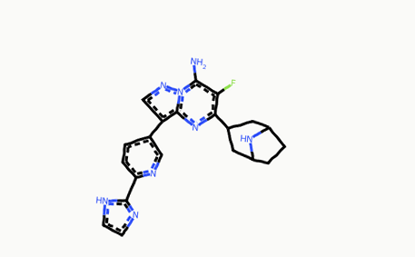 Nc1c(F)c(C2CC3CCC(C2)N3)nc2c(-c3ccc(-c4ncc[nH]4)nc3)cnn12